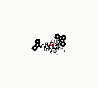 CC[C@H](C)[C@H](NC(=O)OCC1c2ccccc2-c2ccccc21)C(=O)N(C)[C@H](C(=O)N(C)CC(=O)OC(c1ccccc1)(c1ccccc1)c1ccccc1)C(C)C